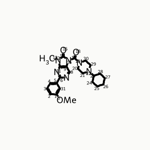 COc1cccc(-c2ncc3c(n2)n(C)c(=O)n3C(=O)N2CCN(C3CCCCC3)CC2)c1